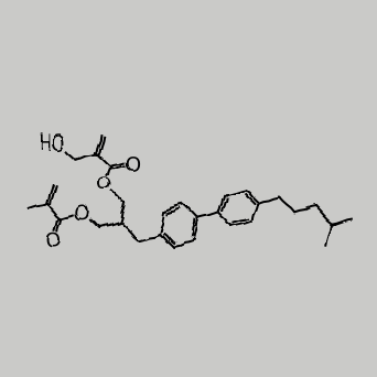 C=C(C)C(=O)OCC(COC(=O)C(=C)CO)Cc1ccc(-c2ccc(CCCC(C)C)cc2)cc1